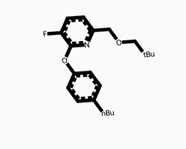 CCCCc1ccc(Oc2nc(COCC(C)(C)C)ccc2F)cc1